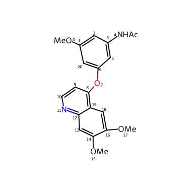 COc1cc(NC(C)=O)cc(Oc2ccnc3cc(OC)c(OC)cc23)c1